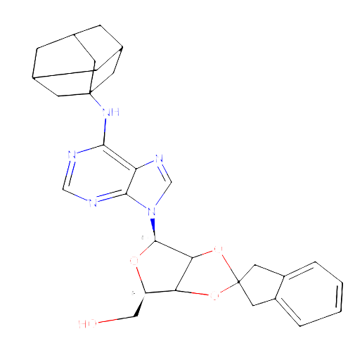 OC[C@H]1O[C@@H](n2cnc3c(NC45CC6CC(CC(C6)C4)C5)ncnc32)C2OC3(Cc4ccccc4C3)OC21